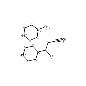 C#CCC(CC)N1CCNCC1.CN1CCNCC1